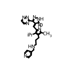 Cc1[nH]c(C=C2C(=O)NN=C2c2nccnn2)c(C(C)C)c1CCCNCc1ccncc1